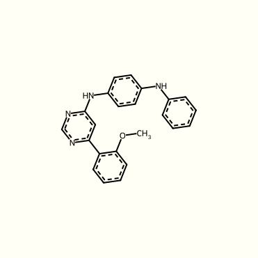 COc1ccccc1-c1cc(Nc2ccc(Nc3ccccc3)cc2)ncn1